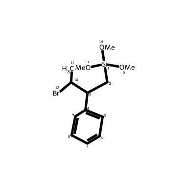 CO[Si](CC(c1ccccc1)C(C)Br)(OC)OC